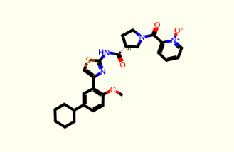 COc1ccc(C2CCCCC2)cc1-c1csc(NC(=O)[C@@H]2CCN(C(=O)c3cccc[n+]3[O-])C2)n1